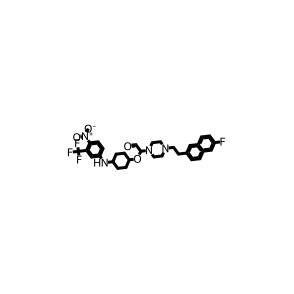 O=CC(OC1CCC(Nc2ccc([N+](=O)[O-])c(C(F)(F)F)c2)CC1)N1CCN(CCc2ccc3cc(F)ccc3c2)CC1